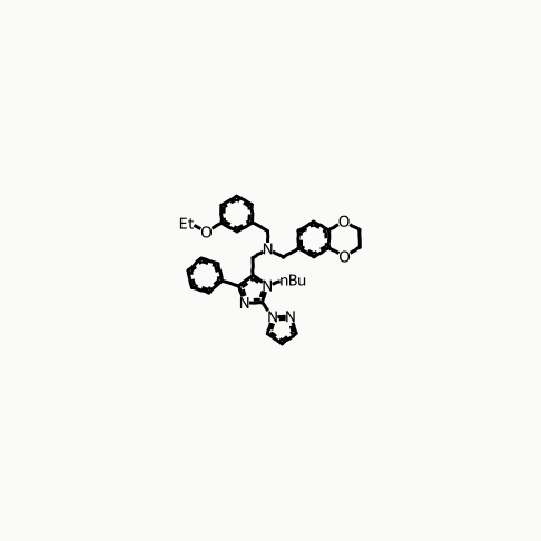 CCCCn1c(-n2cccn2)nc(-c2ccccc2)c1CN(Cc1cccc(OCC)c1)Cc1ccc2c(c1)OCCO2